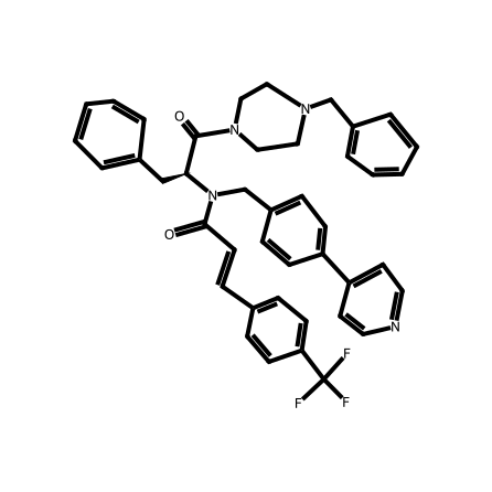 O=C([C@H](Cc1ccccc1)N(Cc1ccc(-c2ccncc2)cc1)C(=O)C=Cc1ccc(C(F)(F)F)cc1)N1CCN(Cc2ccccc2)CC1